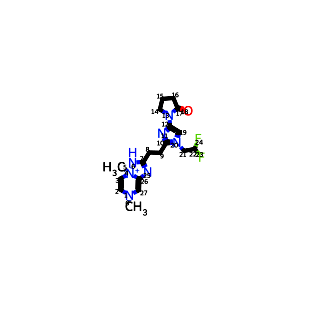 CN1C=C[N+]2(C)NC(CCc3nc(N4CCCC4=O)cn3CC(F)F)=NC2=C1